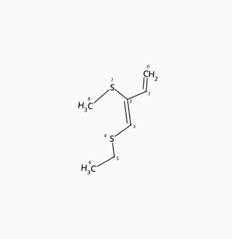 C=CC(=CSCC)SC